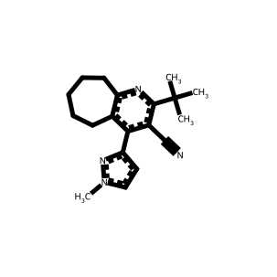 Cn1ccc(-c2c(C#N)c(C(C)(C)C)nc3c2CCCCC3)n1